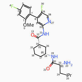 COc1cc(F)ccc1-c1cc(NC(=O)[C@H]2CCC[C@@H](NC(=O)[C@H](N)CC(C)C)C2)ncc1F